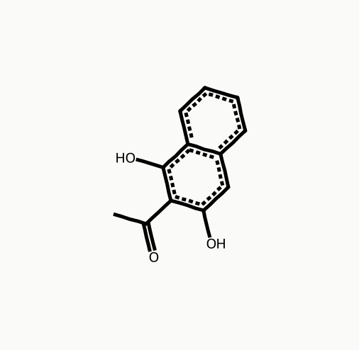 CC(=O)c1c(O)cc2ccccc2c1O